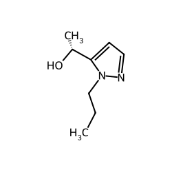 CCCn1nccc1[C@@H](C)O